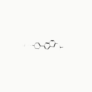 CCCCCCC1CC=C(c2ccc3cc(OC(=O)CCCC)ccc3c2)CC1